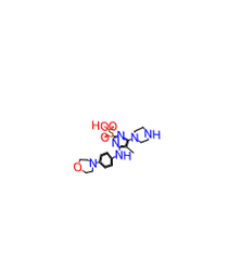 Cc1c(Nc2ccc(N3CCOCC3)cc2)nc(S(=O)(=O)O)nc1N1CCNCC1